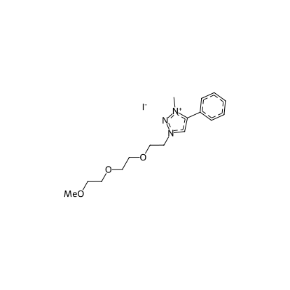 COCCOCCOCCn1cc(-c2ccccc2)[n+](C)n1.[I-]